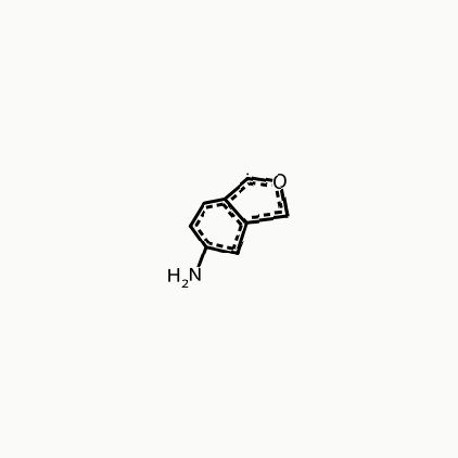 Nc1ccc2[c]occ2c1